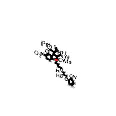 COC(=O)C1=C(C#N)NC(C)=C(C(=O)OC(C)C)C1c1cc([N+](=O)[O-])ccc1OCCCCNCC(O)COc1ccccc1C#N